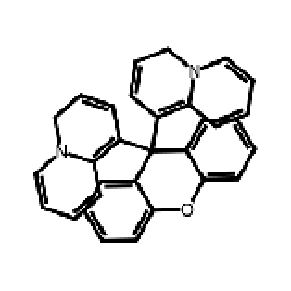 C1=CC2=C(C3(C4=C5C=CC=CN5CC=C4)c4ccccc4Oc4ccccc43)C=CCN2C=C1